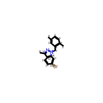 Cc1ccc(C)c(Cn2nc(C)c3ccc(Br)cc32)c1